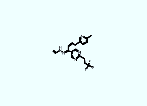 C=CN/N=C(\C=C/Cc1ccc(C)nc1)c1cnc(CCC(F)(F)F)nc1